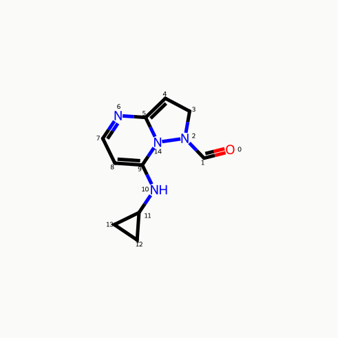 O=CN1CC=C2N=CC=C(NC3CC3)N21